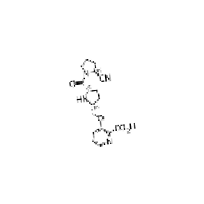 N#C[C@@H]1CCCN1C(=O)[C@@H]1CC[C@H](COc2cccnc2C(=O)O)N1